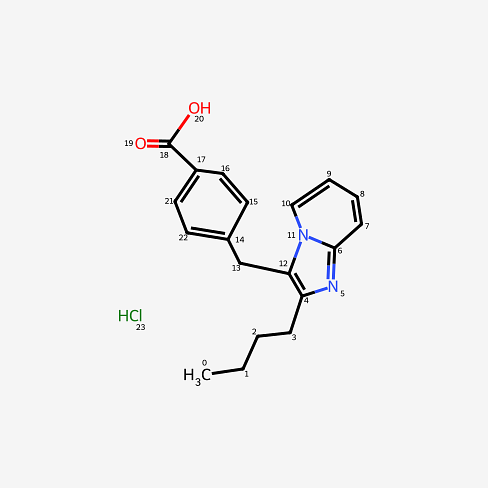 CCCCc1nc2ccccn2c1Cc1ccc(C(=O)O)cc1.Cl